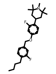 CCCCc1ccc(COc2ccc(C3CC(C)(C)N(C)C(C)(C)C3)c(F)c2)cc1F